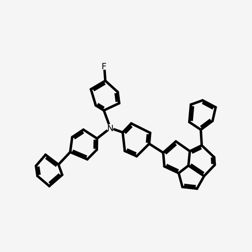 Fc1ccc(N(c2ccc(-c3ccccc3)cc2)c2ccc(-c3cc4c5c(ccc(-c6ccccc6)c5c3)C=C4)cc2)cc1